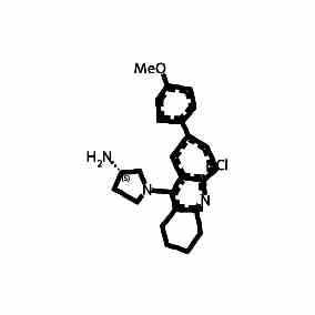 COc1ccc(-c2ccc3nc4c(c(N5CC[C@H](N)C5)c3c2)CCCC4)cc1.Cl